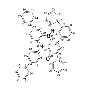 c1ccc(-c2ccc(N3c4ccc(-c5ccccc5)cc4B4c5c(cc6c(oc7ccccc76)c53)-c3cccc5c6ccccc6n4c35)cc2)cc1